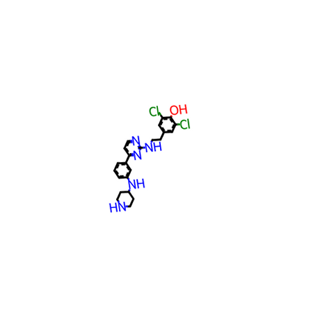 Oc1c(Cl)cc(CCNc2nccc(-c3cccc(NC4CCNCC4)c3)n2)cc1Cl